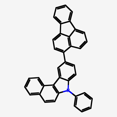 c1ccc(-n2c3ccc(-c4ccc5c6c(cccc46)-c4ccccc4-5)cc3c3c4ccccc4ccc32)cc1